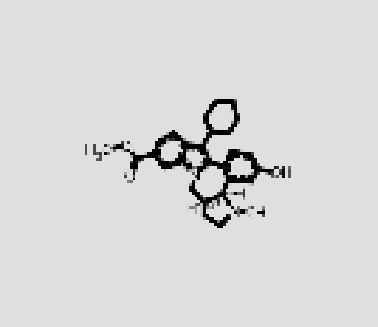 COC(=O)c1ccc2c(C3CCCCC3)c3n(c2c1)C[C@@H]1CCN(C)[C@@H]1c1cc(O)ccc1-3